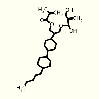 C=C(C)C(=O)OCC(COC(O)C(=C)CO)C1CCC(C2CCC(CCCCC)CC2)CC1